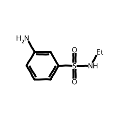 CCNS(=O)(=O)c1cccc(N)c1